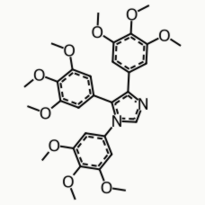 COc1cc(-c2ncn(-c3cc(OC)c(OC)c(OC)c3)c2-c2cc(OC)c(OC)c(OC)c2)cc(OC)c1OC